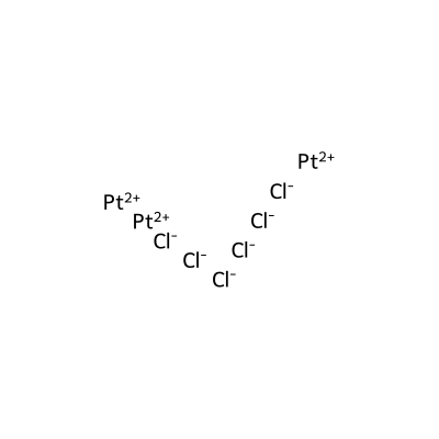 [Cl-].[Cl-].[Cl-].[Cl-].[Cl-].[Cl-].[Pt+2].[Pt+2].[Pt+2]